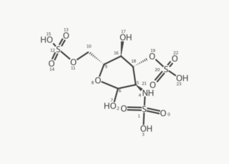 O=S(=O)(O)N[C@H]1C(O)O[C@H](COS(=O)(=O)O)[C@@H](O)[C@@H]1OS(=O)(=O)O